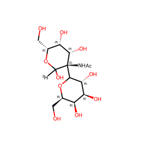 [2H]C1(O)O[C@H](CO)[C@H](O)[C@H](O)[C@]1(NC(C)=O)C1O[C@H](CO)[C@H](O)[C@H](O)[C@H]1O